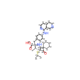 CC[C@@](Cc1ccc(Nc2nccc3ccncc23)cc1)(NC1=C(SC(C)C)C(=O)C12CCCCC2)C(=O)O